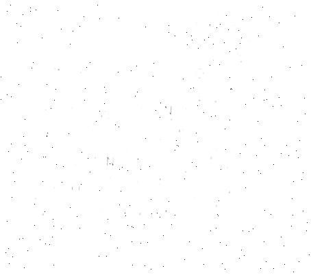 CC(C)(C)c1cccc2c1oc1c(N(c3cccc(-c4ccccc4)c3)c3c4ccccc4c(N(c4cccc(-c5ccccc5)c4)c4cccc5c4oc4c(C(C)(C)C)cccc45)c4c3oc3ccccc34)cccc12